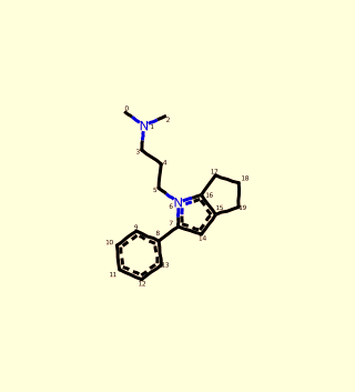 CN(C)CCCn1c(-c2ccccc2)cc2c1CCC2